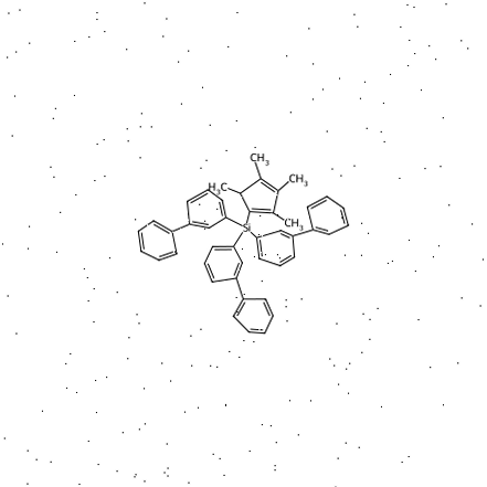 CC1=C(C)C(C)C([Si](c2cccc(-c3ccccc3)c2)(c2cccc(-c3ccccc3)c2)c2cccc(-c3ccccc3)c2)=C1C